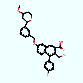 COC1CCOC(c2cccc(COc3ccc4c(-c5ccc(F)cc5)c(CO)c(C(=O)O)cc4c3)c2)C1